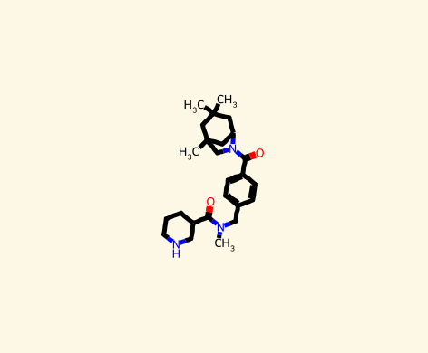 CN(Cc1ccc(C(=O)N2CC3(C)CC2CC(C)(C)C3)cc1)C(=O)C1CCCNC1